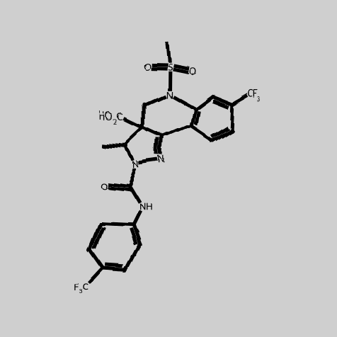 CC1N(C(=O)Nc2ccc(C(F)(F)F)cc2)N=C2c3ccc(C(F)(F)F)cc3N(S(C)(=O)=O)CC21C(=O)O